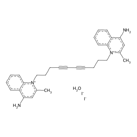 Cc1cc(N)c2ccccc2[n+]1CCCC#CC#CCCC[n+]1c(C)cc(N)c2ccccc21.O.[I-].[I-]